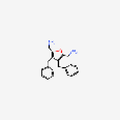 NCc1oc(CN)c(Cc2ccccc2)c1Cc1ccccc1